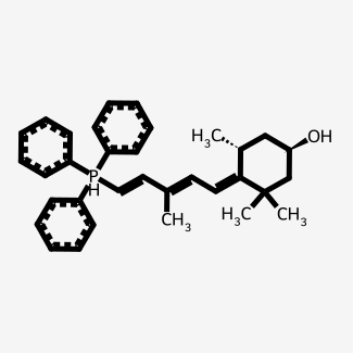 CC(/C=C/[PH](c1ccccc1)(c1ccccc1)c1ccccc1)=C\C=C1/[C@H](C)C[C@@H](O)CC1(C)C